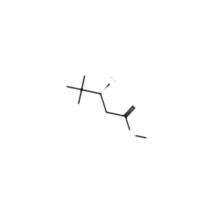 COC(=O)C[C@H](N)C(C)(C)C